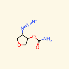 [N-]=[N+]=N[C@@H]1COC[C@@H]1OC(N)=O